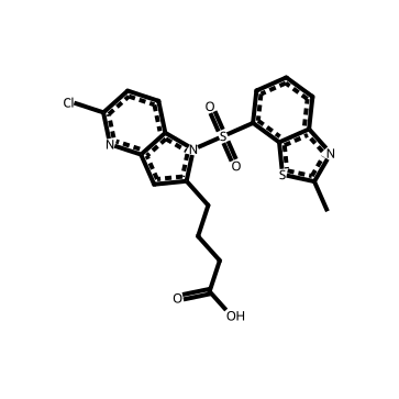 Cc1nc2cccc(S(=O)(=O)n3c(CCCC(=O)O)cc4nc(Cl)ccc43)c2s1